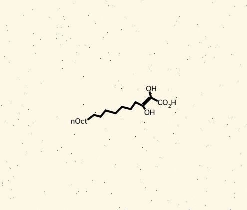 CCCCCCCCCCCCCCCC(O)=C(O)C(=O)O